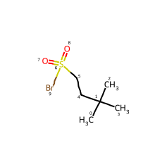 CC(C)(C)CCS(=O)(=O)Br